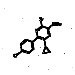 COc1nc(C2CC2)c(-c2ccc(Cl)cc2)nc1Br